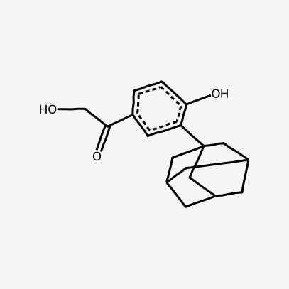 O=C(CO)c1ccc(O)c(C23CC4CC(CC(C4)C2)C3)c1